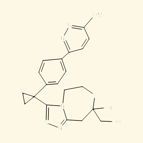 COc1ccc(-c2ccc(C3(c4nnc5n4CCSC(C)(CO)C5)CC3)cc2)nn1